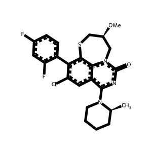 CO[C@@H]1CSc2c(-c3ccc(F)cc3F)c(Cl)cc3c(N4CCCC[C@@H]4C)nc(=O)n(c23)C1